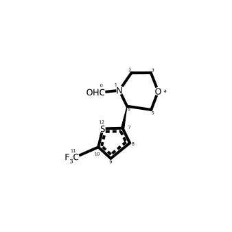 O=CN1CCOC[C@H]1c1ccc(C(F)(F)F)s1